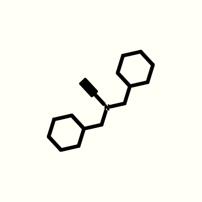 C#CN(CC1CCCCC1)CC1CCCCC1